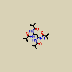 C=C(C)C(=O)NC(CC(NC(=O)C(=C)C)NC(=O)C(=C)C)NC(=O)C(=C)C